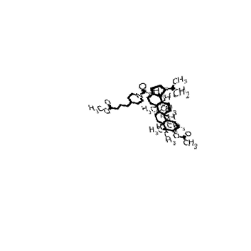 C=C(C)[C@@H]1CC[C@]2(C(=O)N3CCC(CCCC(=O)OC)CC3)CC[C@]3(C)[C@H](CC[C@@H]4[C@@]5(C)CC[C@H](OC(C)=O)C(C)(C)[C@@H]5CC[C@]43C)[C@@H]12